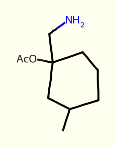 CC(=O)OC1(CN)CCCC(C)C1